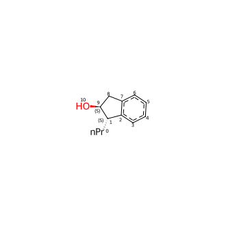 CCC[C@H]1c2ccccc2C[C@@H]1O